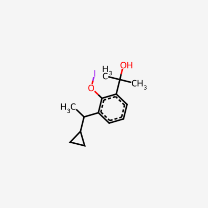 CC(c1cccc(C(C)(C)O)c1OI)C1CC1